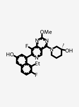 CCc1c(F)ccc2cc(O)cc(-c3ncc4c(N5CCC[C@](C)(O)C5)nc(OC)nc4c3F)c12